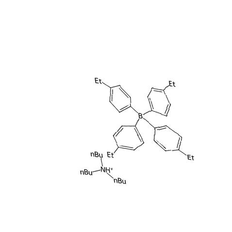 CCCC[NH+](CCCC)CCCC.CCc1ccc([B-](c2ccc(CC)cc2)(c2ccc(CC)cc2)c2ccc(CC)cc2)cc1